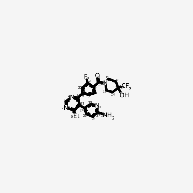 CCc1ncnc(-c2ccc(C(=O)N3CCC(O)(C(F)(F)F)CC3)c(F)c2)c1-c1ccc(N)nc1